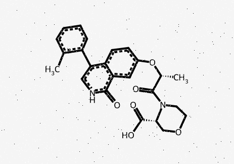 Cc1ccccc1-c1c[nH]c(=O)c2cc(O[C@H](C)C(=O)N3CCOC[C@@H]3C(=O)O)ccc12